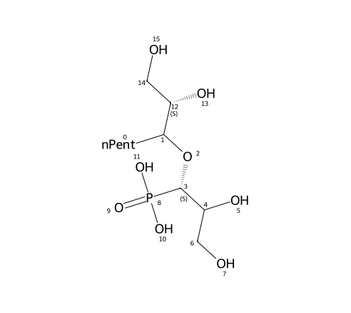 CCCCCC(O[C@H](C(O)CO)P(=O)(O)O)[C@@H](O)CO